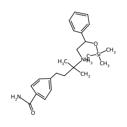 CC(C)(CCc1ccc(C(N)=O)cc1)NCC(O[Si](C)(C)C)c1ccccc1